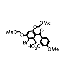 COCOc1cc(OCOC)c(C(=O)c2ccc(OC)cc2)c(CC(=O)O)c1Br